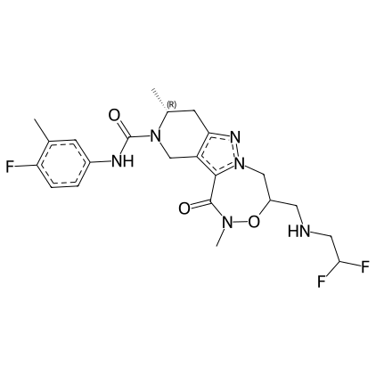 Cc1cc(NC(=O)N2Cc3c(nn4c3C(=O)N(C)OC(CNCC(F)F)C4)C[C@H]2C)ccc1F